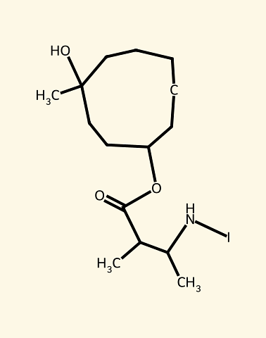 CC(NI)C(C)C(=O)OC1CCCCCC(C)(O)CC1